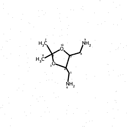 CC1(C)OC(CN)C(CN)O1